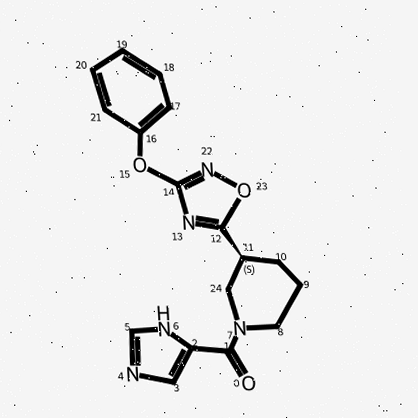 O=C(c1cnc[nH]1)N1CCC[C@H](c2nc(Oc3ccccc3)no2)C1